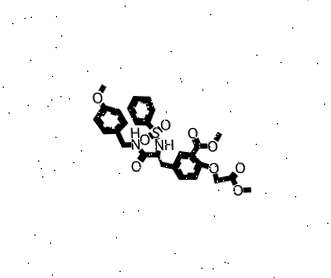 COC(=O)COc1ccc(C[C@H](NS(=O)(=O)c2ccccc2)C(=O)NCc2ccc(OC)cc2)cc1C(=O)OC